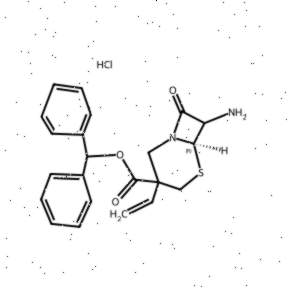 C=CC1(C(=O)OC(c2ccccc2)c2ccccc2)CS[C@@H]2C(N)C(=O)N2C1.Cl